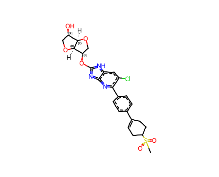 CS(=O)(=O)C1CC=C(c2ccc(-c3nc4nc(O[C@@H]5CO[C@H]6[C@@H]5OC[C@H]6O)[nH]c4cc3Cl)cc2)CC1